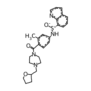 Cc1cc(N[S+]([O-])c2cccc3cccnc23)ccc1C(=O)N1CCN(CC2CCCO2)CC1